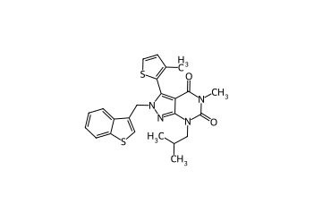 Cc1ccsc1-c1c2c(=O)n(C)c(=O)n(CC(C)C)c2nn1Cc1csc2ccccc12